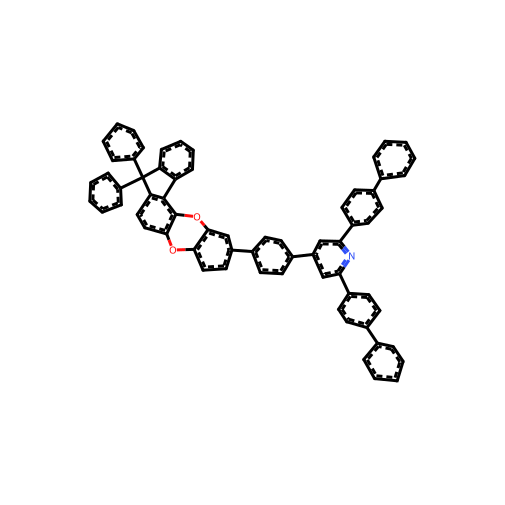 c1ccc(-c2ccc(-c3cc(-c4ccc(-c5ccc6c(c5)Oc5c(ccc7c5-c5ccccc5C7(c5ccccc5)c5ccccc5)O6)cc4)cc(-c4ccc(-c5ccccc5)cc4)n3)cc2)cc1